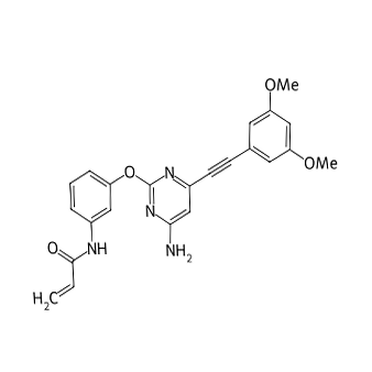 C=CC(=O)Nc1cccc(Oc2nc(N)cc(C#Cc3cc(OC)cc(OC)c3)n2)c1